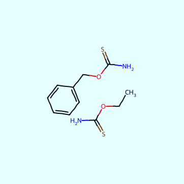 CCOC(N)=S.NC(=S)OCc1ccccc1